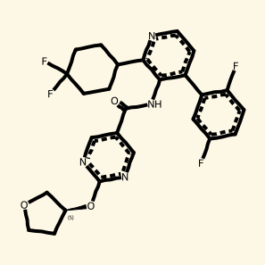 O=C(Nc1c(-c2cc(F)ccc2F)ccnc1C1CCC(F)(F)CC1)c1cnc(O[C@H]2CCOC2)nc1